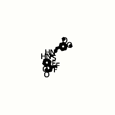 COc1ccc(CCNC(=S)Nc2ccc3oc(=O)cc(C(F)(F)F)c3c2)cc1OC